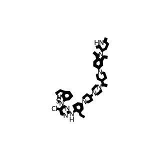 C=C1CCC(n2c(=C)c3ccc(N4CCC(C(=C)N5CCN(C6CCN(c7ccc(Nc8ncc(Cl)c(N9SN%10CCc%11cccc9c%11%10)n8)c(CC)c7)CC6)CC5)CC4)cc3c2=C)C(=C)N1